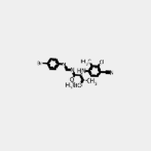 CO/C(=N\C=N\c1ccc(Br)cc1)[C@H](Nc1ccc(C#N)c(Cl)c1C)[C@H](C)O